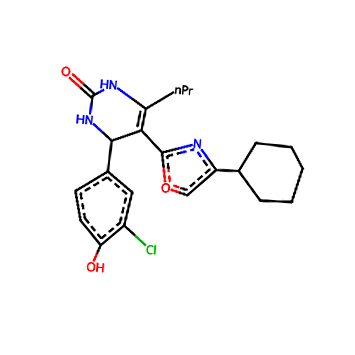 CCCC1=C(c2nc(C3CCCCC3)co2)C(c2ccc(O)c(Cl)c2)NC(=O)N1